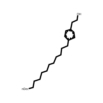 CCCCCCCCCCCCCCCCCCCCCc1ccc(CCO)cc1